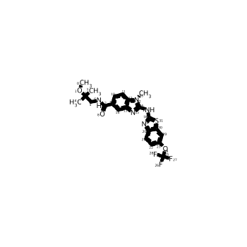 COC(C)(C)CNC(=O)c1ccc2c(c1)nc(Nc1nc3ccc(OC(F)(F)F)cc3s1)n2C